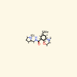 CCN1CCCC1CNC(=O)c1cc(SC)cc2c1OCCN2C